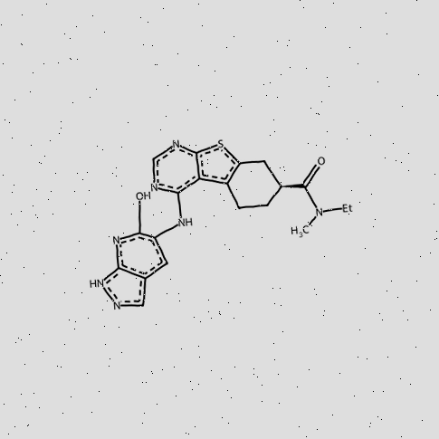 CCN(C)C(=O)[C@H]1CCc2c(sc3ncnc(Nc4cc5cn[nH]c5nc4O)c23)C1